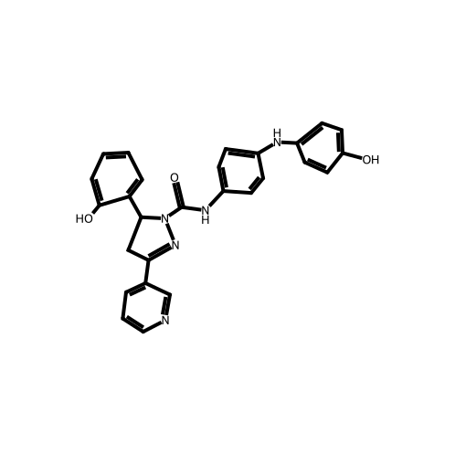 O=C(Nc1ccc(Nc2ccc(O)cc2)cc1)N1N=C(c2cccnc2)CC1c1ccccc1O